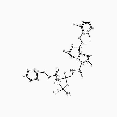 BC(B)(B)CC(C)(CNC(=O)c1c(C)nc2c(OCc3c(F)cccc3F)nc(C)cn12)NC(=O)OCc1ccccc1